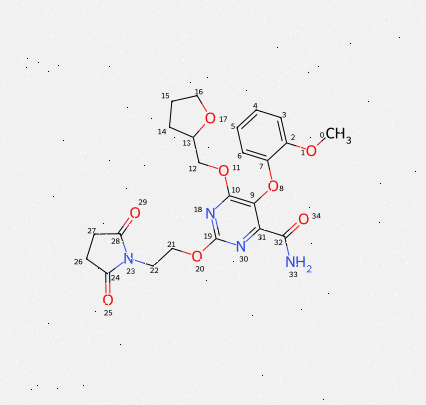 COc1ccccc1Oc1c(OCC2CCCO2)nc(OCCN2C(=O)CCC2=O)nc1C(N)=O